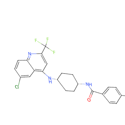 O=C(N[C@H]1CC[C@@H](Nc2cc(C(F)(F)F)nc3ccc(Cl)cc23)CC1)c1ccc(F)cc1